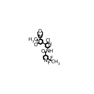 Cn1c(N2C3CCC2COC3)cc(-c2cc(NC(=O)c3ccnc(C(C)(F)F)c3)cnc2Cl)cc1=O